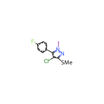 CSc1nn(I)c(-c2ccc(F)cc2)c1Cl